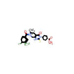 C[C@@H]1Cc2c([nH]c(=S)n([C@H]3CC[C@@H](C(=O)O)CC3)c2=O)CN1C(=O)c1ccc(Cl)c(Cl)c1